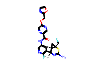 C[C@]1(c2cc(NC(=O)c3cnc(OCc4ncco4)cn3)cnc2F)N=C(N)S[C@@]2(CF)C[C@H]21